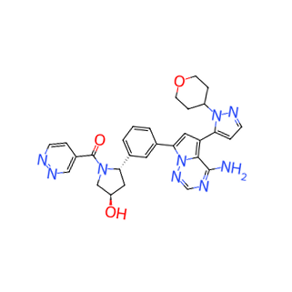 Nc1ncnn2c(-c3cccc([C@@H]4C[C@@H](O)CN4C(=O)c4ccnnc4)c3)cc(-c3ccnn3C3CCOCC3)c12